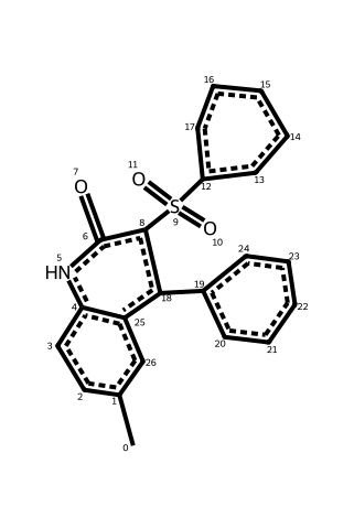 Cc1ccc2[nH]c(=O)c(S(=O)(=O)c3ccccc3)c(-c3ccccc3)c2c1